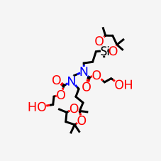 CC1CC(C)(C)OC(C)(CCCN(CN(CCC[Si]2(C)OC(C)CC(C)(C)O2)C(=O)OCCO)C(=O)OCCO)O1